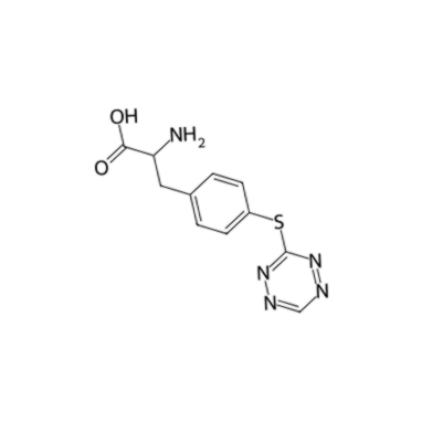 NC(Cc1ccc(Sc2nncnn2)cc1)C(=O)O